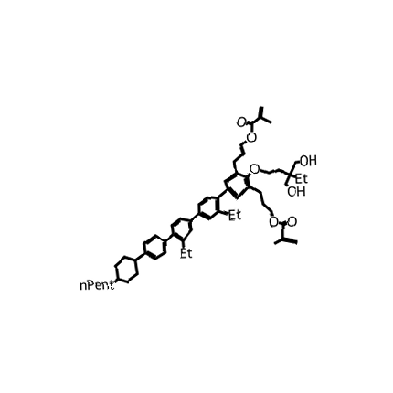 C=C(C)C(=O)OCCCc1cc(-c2ccc(-c3ccc(-c4ccc(C5CCC(CCCCC)CC5)cc4)c(CC)c3)cc2CC)cc(CCCOC(=O)C(=C)C)c1OCCC(CC)(CO)CO